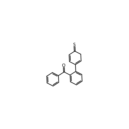 O=C(c1ccccc1)c1ccccc1C1=CCC(=S)C=C1